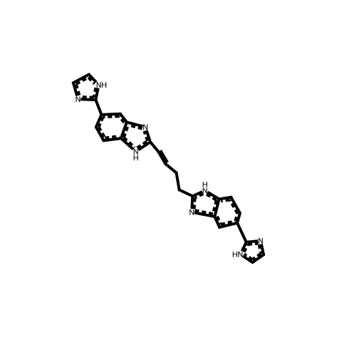 C(=Cc1nc2cc(-c3ncc[nH]3)ccc2[nH]1)CCc1nc2cc(-c3ncc[nH]3)ccc2[nH]1